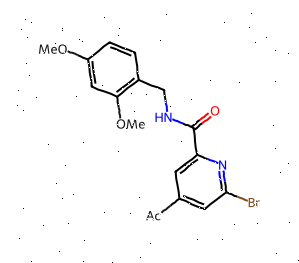 COc1ccc(CNC(=O)c2cc(C(C)=O)cc(Br)n2)c(OC)c1